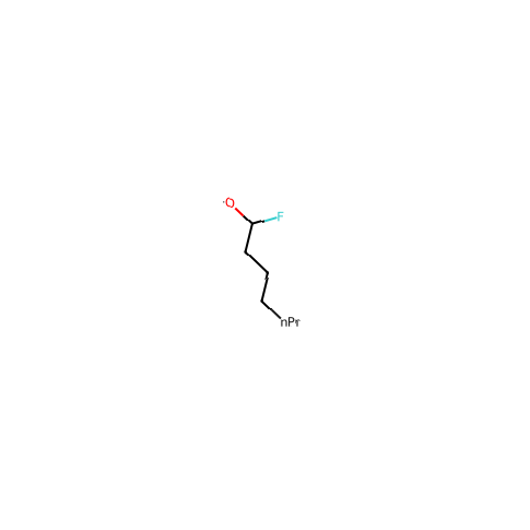 CCCCCCC([O])F